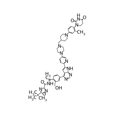 Cc1cc(N2CCC(CN3CCN(c4ccc(-c5cc6c(-c7ccc([C@@H](C)NC(=O)c8noc(C(C)(C)C)n8)c(CO)c7)ncnc6[nH]5)nc4)CC3)CC2)ccc1N1CCC(=O)NC1=O